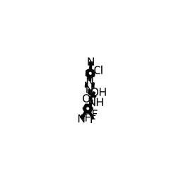 CC(O)(CN1CCN(c2ccc(C#N)c(Cl)c2)CC1)C(=O)Nc1ccc(C#N)c(C(F)(F)F)c1